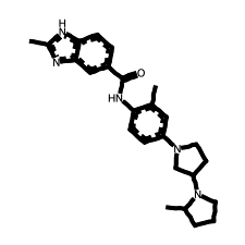 Cc1nc2cc(C(=O)Nc3ccc(N4CCC(N5CCCC5C)C4)cc3C)ccc2[nH]1